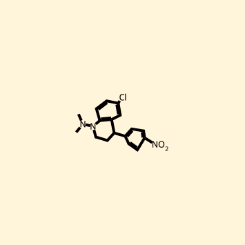 CN(C)N1CCC(c2ccc([N+](=O)[O-])cc2)c2cc(Cl)ccc21